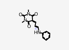 CN1C(=O)C(=C/C=C/Nc2ccccc2)C(=O)N(C)C1=O